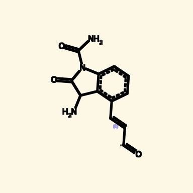 NC(=O)N1C(=O)C(N)c2c(/C=C/[C]=O)cccc21